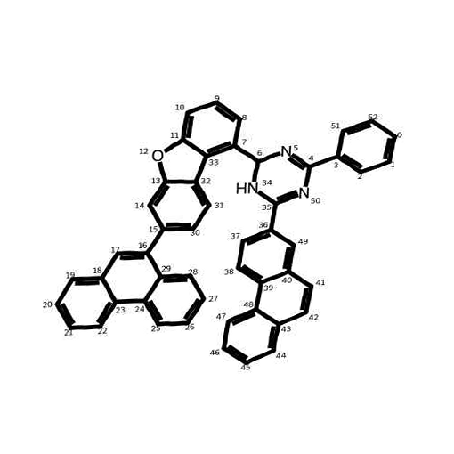 c1ccc(C2=NC(c3cccc4oc5cc(-c6cc7ccccc7c7ccccc67)ccc5c34)NC(c3ccc4c(ccc5ccccc54)c3)=N2)cc1